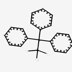 NC(N)(N)C(c1ccccc1)(c1ccccc1)c1ccccc1